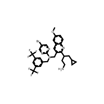 COc1ccc2nc(C(CCN)CC3CC3)c(CN(Cc3cc(C(F)(F)F)cc(C(F)(F)F)c3)c3ncc(Br)cn3)cc2c1